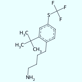 CC(C)(C)c1cc(SC(F)(F)F)ccc1CCCCN